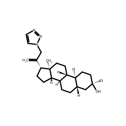 C=C(Cn1ccnn1)[C@H]1CC[C@H]2[C@@H]3CC[C@H]4C[C@@](O)(CC)CC[C@@H]4[C@H]3CC[C@]12C